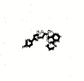 C[C@@H](Cn1ccc(-c2ccc(F)cn2)n1)N(C)C(=O)c1ccccc1-c1ncccn1